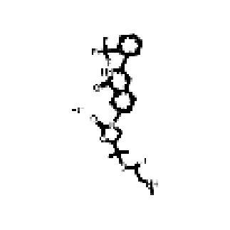 CNCC(=O)OC(C)(C)C1CN(c2ccc3cc(-c4ccccc4C(F)(F)F)[nH]c(=O)c3c2)C(=O)O1.Cl